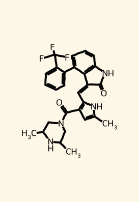 Cc1cc(C(=O)N2CC(C)NC(C)C2)c(C=C2C(=O)Nc3cccc(-c4ccccc4C(F)(F)F)c32)[nH]1